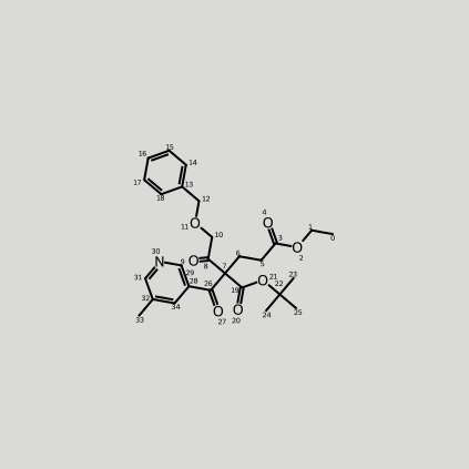 CCOC(=O)CCC(C(=O)COCc1ccccc1)(C(=O)OC(C)(C)C)C(=O)c1cncc(C)c1